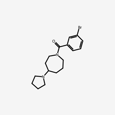 O=C(c1cccc(Br)c1)N1CCCC(N2CCCC2)CC1